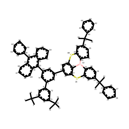 CC(C)(C)c1cc(-c2cc(-c3cc4c5c(c3)Sc3cc(C(C)(C)c6ccccc6)ccc3B5c3ccc(C(C)(C)c5ccccc5)cc3S4)cc(-c3c4ccccc4c(-c4ccccc4)c4ccccc34)c2)cc(C(C)(C)C)c1